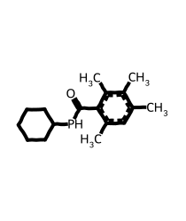 Cc1cc(C)c(C(=O)PC2CCCCC2)c(C)c1C